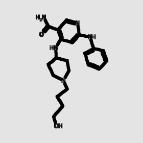 NC(=O)c1cnc(Nc2ccccc2)cc1NC1CCN(CCCCO)CC1